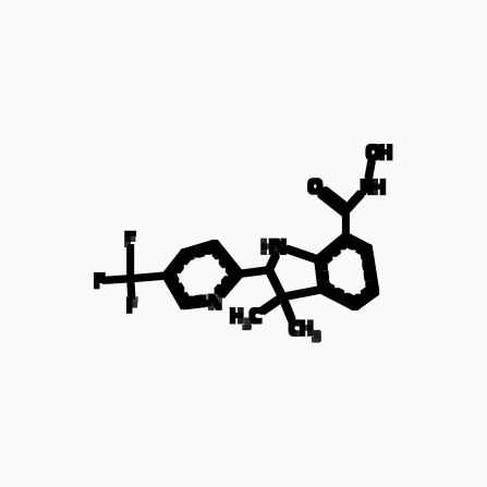 CC1(C)c2cccc(C(=O)NO)c2NC1c1ccc(C(F)(F)F)cn1